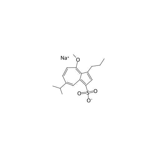 CCCc1cc(S(=O)(=O)[O-])c2cc(C(C)C)ccc(OC)c1-2.[Na+]